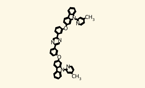 Cc1ccnc(-n2c3ccccc3c3ccc(Oc4cccc(-c5cnc(-c6cccc(Oc7ccc8c9ccccc9n(-c9cc(C)ccn9)c8c7)c6)cn5)c4)cc32)c1